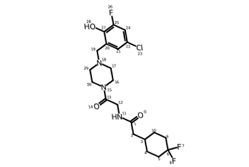 O=C(CC1CCC(F)(F)CC1)NCC(=O)N1CCN(Cc2cc(Cl)cc(F)c2O)CC1